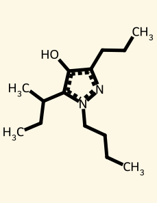 CCCCn1nc(CCC)c(O)c1C(C)CC